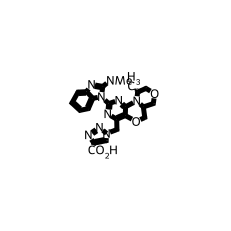 CNc1nc2ccccc2n1-c1nc(Cn2cc(C(=O)O)nn2)c2c(n1)N1C(COC[C@H]1C)CO2